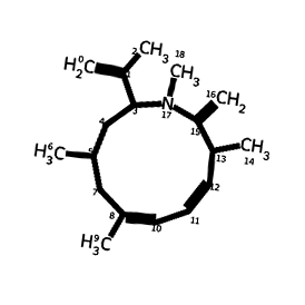 C=C(C)C1CC(C)C/C(C)=C\C=C/C(C)C(=C)N1C